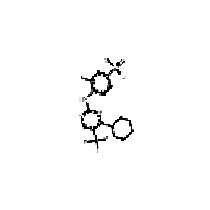 Cc1cc(S(=O)(=O)Cl)ccc1Nc1ncc(C(F)(F)F)c(C2CCCCC2)n1